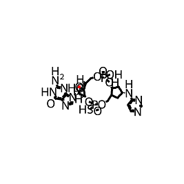 Nc1nc2c(ncn2[C@@H]2O[C@@H]3COP(=O)(O)O[C@H]4C[C@H](Nc5ccncn5)CC4COP(=O)(S)O[C@@H]2[C@@H]3O)c(=O)[nH]1